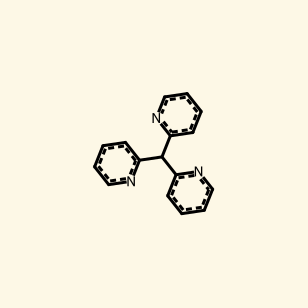 c1ccc(C(c2ccccn2)c2ccccn2)nc1